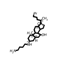 CC(C)CCC[C@@H](C)[C@H]1CCC2C3C(CC[C@@]21C)[C@@]1(C)CC[C@H](NCCCCN)C[C@@H]1C[C@H]3O